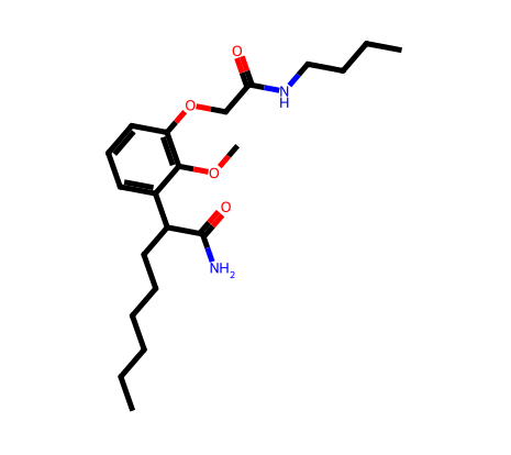 CCCCCCC(C(N)=O)c1cccc(OCC(=O)NCCCC)c1OC